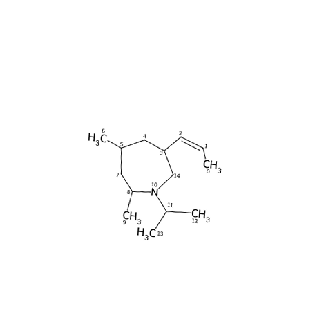 C/C=C\C1CC(C)CC(C)N(C(C)C)C1